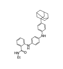 CCNC(=O)c1ccccc1Nc1ccc(Nc2ccc(C34CC5CC(CC(C5)C3)C4)cc2)cc1